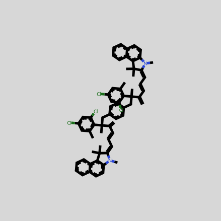 C=C(/C=C/C=C1/N(C)c2ccc3ccccc3c2C1(C)C)C(C)(Cc1ccc(CC(C)(C(=C)/C=C/C=C2/N(C)c3ccc4ccccc4c3C2(C)C)c2c(C)cc(Cl)cc2Cl)cc1)c1c(C)cc(Cl)cc1Cl